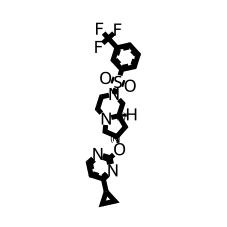 O=S(=O)(c1cccc(C(F)(F)F)c1)N1CCN2C[C@H](Oc3nccc(C4CC4)n3)C[C@H]2C1